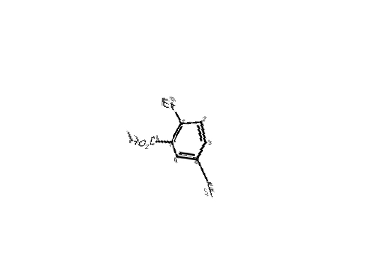 CCc1ccc(F)cc1C(=O)O